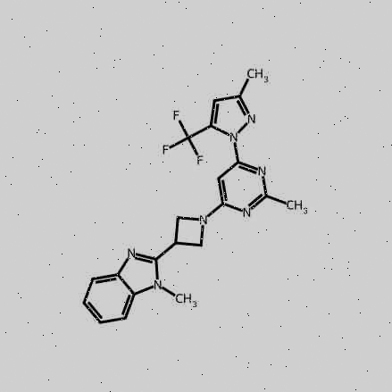 Cc1cc(C(F)(F)F)n(-c2cc(N3CC(c4nc5ccccc5n4C)C3)nc(C)n2)n1